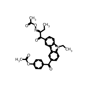 CC/C(=N\OC(C)=O)C(=O)c1ccc2c(c1)c1cc(C(=O)c3ccc(OC(C)=O)cc3)ccc1n2CC